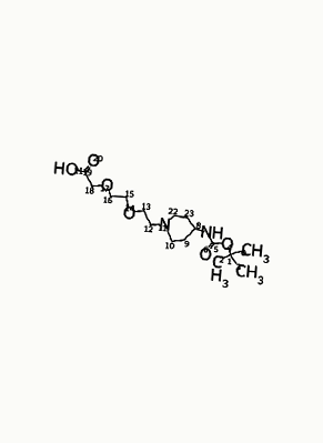 CC(C)(C)OC(=O)NC1CCN(CCOCCOCC(=O)O)CC1